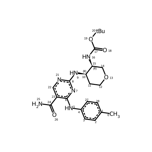 Cc1ccc(Nc2nc(N[C@@H]3CCOC[C@@H]3NC(=O)OC(C)(C)C)ncc2C(N)=O)cc1